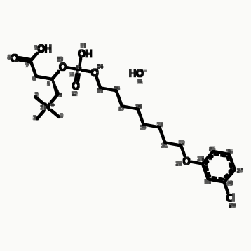 C[N+](C)(C)C[C@@H](CC(=O)O)OP(=O)(O)OCCCCCCCCOc1cccc(Cl)c1.[OH-]